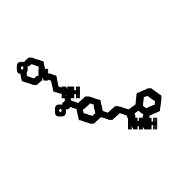 O=C(NCCN1CCOCC1)c1ccc(C=Cc2n[nH]c3ccccc23)cc1